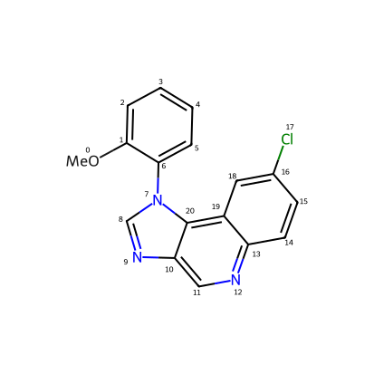 COc1ccccc1-n1cnc2cnc3ccc(Cl)cc3c21